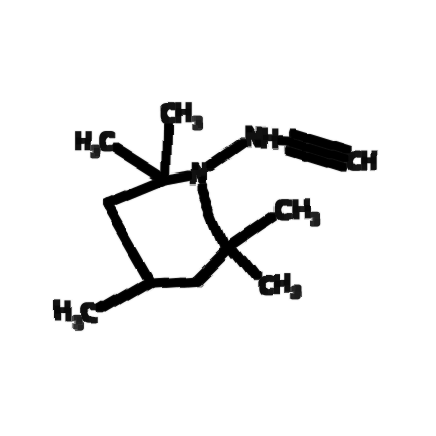 C#CNN1C(C)(C)CC(C)CC1(C)C